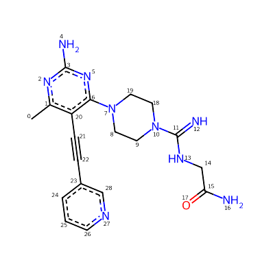 Cc1nc(N)nc(N2CCN(C(=N)NCC(N)=O)CC2)c1C#Cc1cccnc1